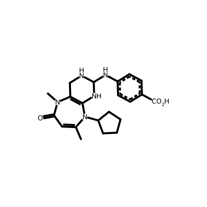 CC1=CC(=O)N(C)C2=C(NC(Nc3ccc(C(=O)O)cc3)NC2)N1C1CCCC1